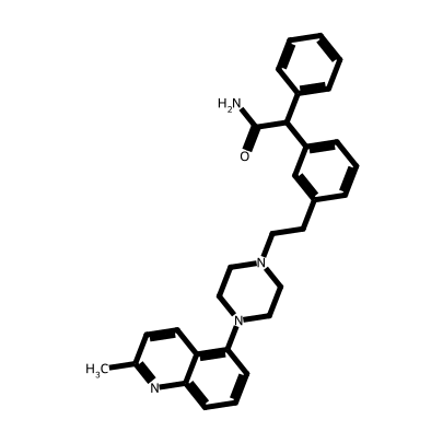 Cc1ccc2c(N3CCN(CCc4cccc(C(C(N)=O)c5ccccc5)c4)CC3)cccc2n1